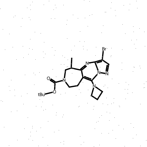 CC1CN(C(=O)OC(C)(C)C)CCc2c1nc1c(Br)cnn1c2N1CCC1